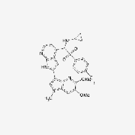 COc1cc2c(nc1OC)c(-c1cc3c(C(NC4CC4)S(=O)(=O)c4ccc(C)cc4)ccnc3[nH]1)cn2C